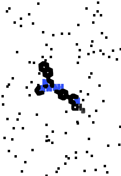 Cc1cc(-c2ccc(CNc3cc(-c4ccc5ccccc5c4)nc(N4CCCC4)n3)cc2)ccn1